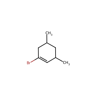 CC1C=C(Br)CC(C)C1